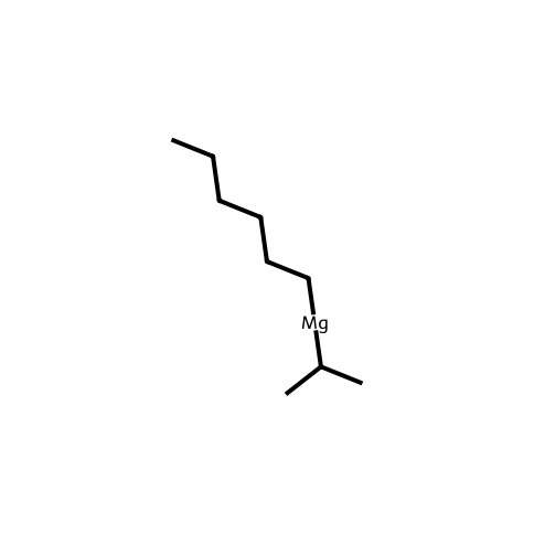 CCCCC[CH2][Mg][CH](C)C